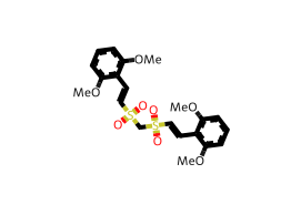 COc1cccc(OC)c1C=CS(=O)(=O)CS(=O)(=O)/C=C/c1c(OC)cccc1OC